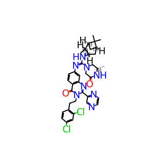 C[C@H]1[C@@H](NC(=Nc2ccc3c(=O)n(CCc4ccc(Cl)cc4Cl)c(-c4cnccn4)nc3c2)N2CC(=O)N[C@@H](C)C2)C[C@@H]2C[C@@H]1C2(C)C